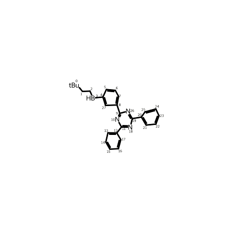 CC(C)(C)CCBc1cccc(-c2nc(-c3ccccc3)nc(-c3ccccc3)n2)c1